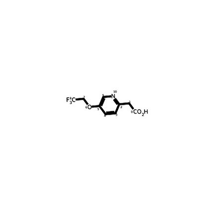 O=C(O)Cc1ccc(OCC(F)(F)F)cn1